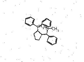 CN(C)[C@@H](c1ccccc1)[C@H]1CCCC1P(c1ccccc1)c1ccccc1